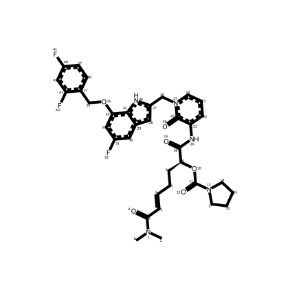 CN(C)C(=O)/C=C/CC[C@H](OC(=O)N1CCCC1)C(=O)Nc1cccn(Cc2cc3cc(F)cc(OCc4ccc(F)cc4F)c3[nH]2)c1=O